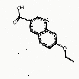 CCOc1ccc2cc(C(=O)O)cnc2c1